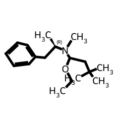 CCOC(CC(C)(C)C)N(C)[C@H](C)Cc1ccccc1